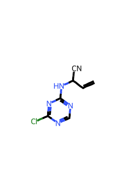 C=CC(C#N)Nc1ncnc(Cl)n1